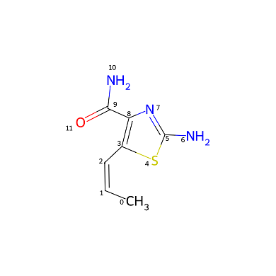 C/C=C\c1sc(N)nc1C(N)=O